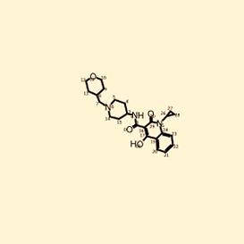 O=C(NC1CCN(CC2CCOCC2)CC1)c1c(O)c2ccccc2n(C2CC2)c1=O